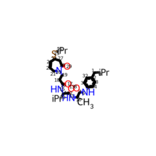 CC(C)Cc1ccc(NC(=O)[C@H](C)NC(=O)C(NC(=O)CCN2CC=CC(SC(C)C)CC2=O)C(C)C)cc1